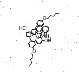 CCCCCOc1ccc(-c2cccn2C(c2ccccc2Cl)N2C=CC=C(O)C2(N)C(c2ccccc2Cl)n2cccc2-c2ccc(OCCCCC)cc2)cc1.Cl